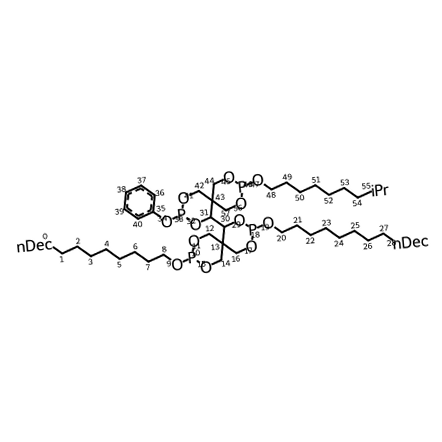 CCCCCCCCCCCCCCCCCCOP1OCC2(CO1)COP(OCCCCCCCCCCCCCCCCCC)OC2C1OP(Oc2ccccc2)OCC12COP(OCCCCCCCC(C)C)OC2